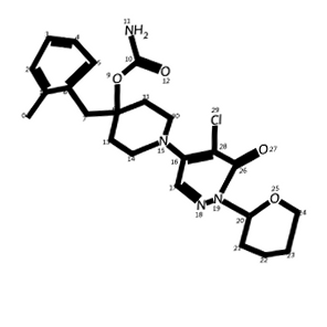 Cc1ccccc1CC1(OC(N)=O)CCN(c2cnn(C3CCCCO3)c(=O)c2Cl)CC1